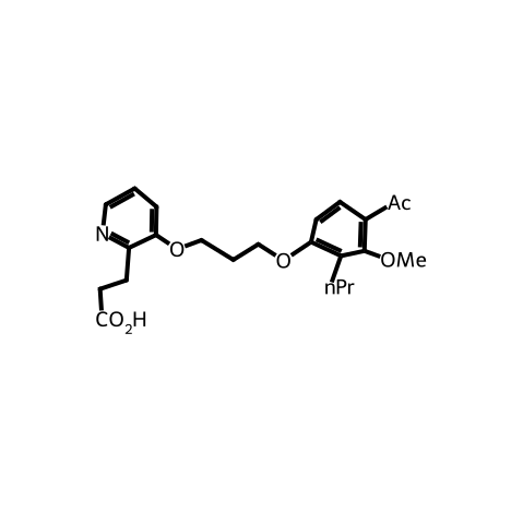 CCCc1c(OCCCOc2cccnc2CCC(=O)O)ccc(C(C)=O)c1OC